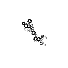 COc1cc2nccc(Oc3ccc(NC(=O)c4cc5c(n(-c6ccccc6)c4=O)CC4(CCC4)CC5=O)nc3)c2cc1OC